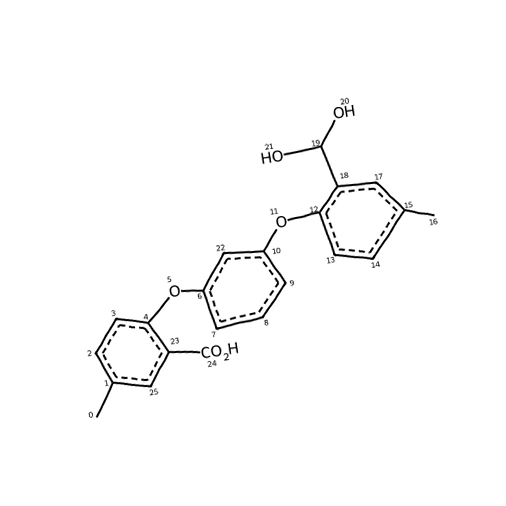 Cc1ccc(Oc2cccc(Oc3ccc(C)cc3C(O)O)c2)c(C(=O)O)c1